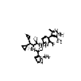 CCc1[nH]nc(C)c1-c1ccc(NC(=O)C(NC(=O)c2ccnn2C(C)C)C(C2CC2)C2CC2)nc1F